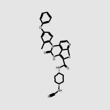 Cc1cc(Oc2ccccc2)ccc1N1C(=O)Nc2c(C(=O)N[C@H]3CC[C@H](NC#N)CC3)sc3nccc1c23